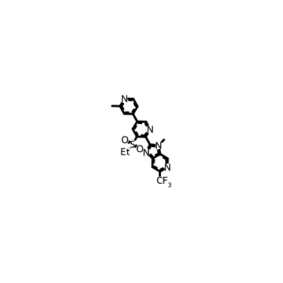 CCS(=O)(=O)c1cc(-c2ccnc(C)c2)cnc1-c1nc2cc(C(F)(F)F)ncc2n1C